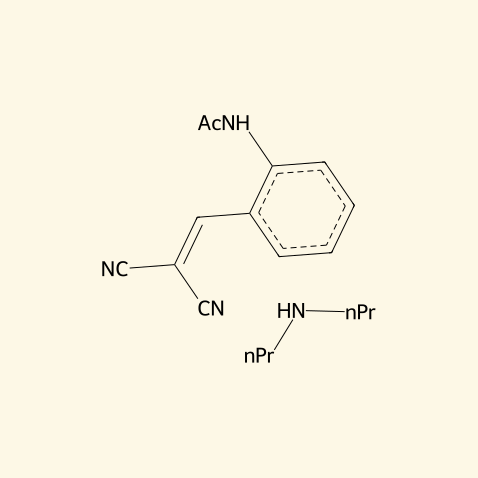 CC(=O)Nc1ccccc1C=C(C#N)C#N.CCCNCCC